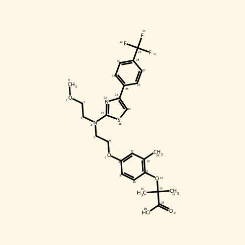 COCCN(CCOc1ccc(OC(C)(C)C(=O)O)c(C)c1)c1nc(-c2ccc(C(F)(F)F)cc2)cs1